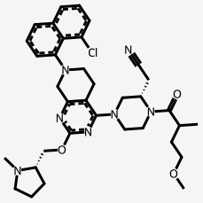 COCCC(C)C(=O)N1CCN(c2nc(OC[C@@H]3CCCN3C)nc3c2CCN(c2cccc4cccc(Cl)c24)C3)C[C@@H]1CC#N